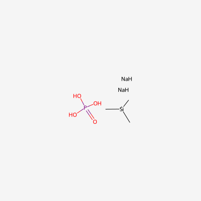 C[Si](C)C.O=P(O)(O)O.[NaH].[NaH]